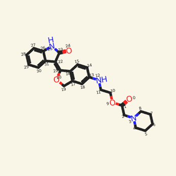 O=C(CN1CCCCC1)OCCNc1ccc2c(c1)COC2=C1C(=O)Nc2ccccc21